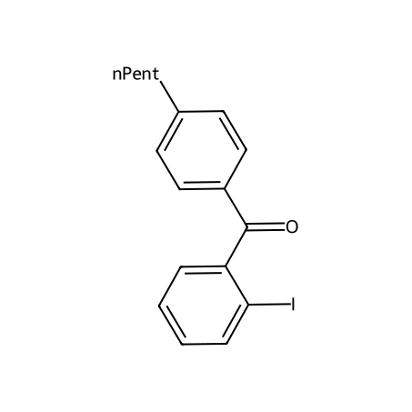 CCCCCc1ccc(C(=O)c2ccccc2I)cc1